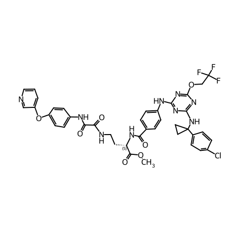 COC(=O)[C@H](CCNC(=O)C(=O)Nc1ccc(Oc2cccnc2)cc1)NC(=O)c1ccc(Nc2nc(NC3(c4ccc(Cl)cc4)CC3)nc(OCC(F)(F)F)n2)cc1